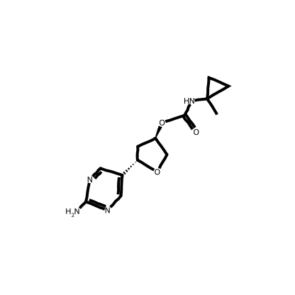 CC1(NC(=O)O[C@H]2CO[C@H](c3cnc(N)nc3)C2)CC1